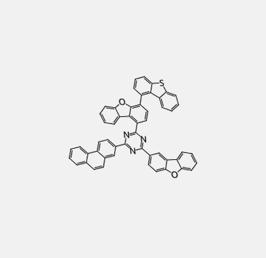 c1ccc2c(c1)ccc1cc(-c3nc(-c4ccc5oc6ccccc6c5c4)nc(-c4ccc(-c5cccc6sc7ccccc7c56)c5oc6ccccc6c45)n3)ccc12